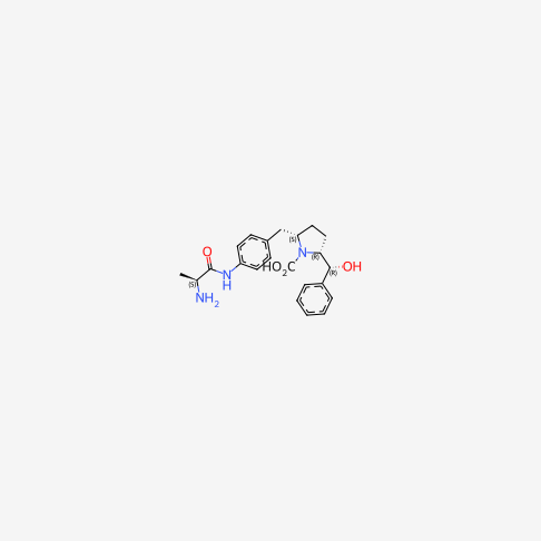 C[C@H](N)C(=O)Nc1ccc(C[C@@H]2CC[C@H]([C@H](O)c3ccccc3)N2C(=O)O)cc1